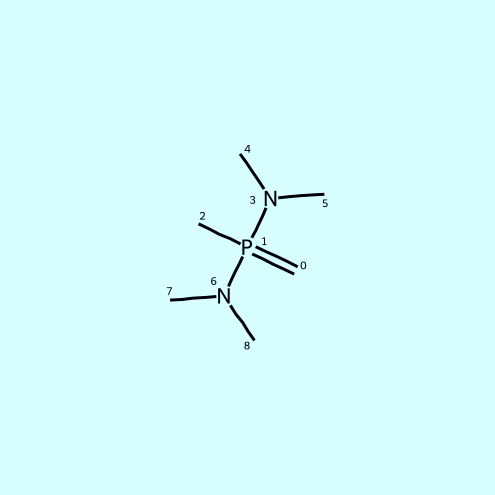 C=P(C)(N(C)C)N(C)C